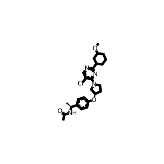 COC1CCCC(c2ncc(Cl)c(N3CC[C@@H](Oc4ccc([C@H](C)NC(C)=O)cc4)C3)n2)C1